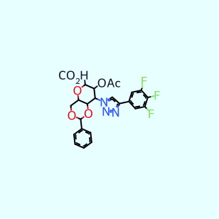 CC(=O)OC1C(C(=O)O)OC2COC(c3ccccc3)OC2C1n1cc(-c2cc(F)c(F)c(F)c2)nn1